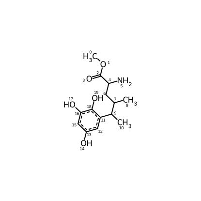 COC(=O)C(N)CC(C)C(C)c1cc(O)cc(O)c1O